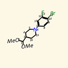 COC(OC)C1CCN(c2ccc(Br)c(F)c2)CC1